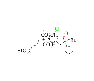 CCCCC1(C2CCCC2)Cc2cc(C(CCCC(=O)OCC)(C(=O)OCC)C(=O)OCC)c(Cl)c(Cl)c2C1=O